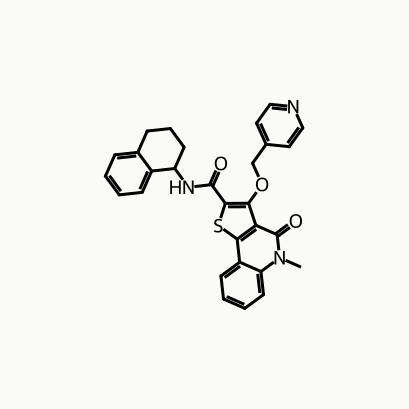 Cn1c(=O)c2c(OCc3ccncc3)c(C(=O)NC3CCCc4ccccc43)sc2c2ccccc21